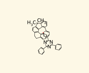 CC1(C)c2cccc(-c3ccc(-c4nc(-c5ccccc5)nc(-c5ccccc5)n4)cc3)c2-c2c1ccc1c2-c2ccccc2CC1